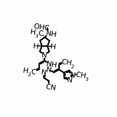 C=C/C=C(\NN(/C=C(\C=C)c1cnn(C)c1)/N=C\CC#N)N1C[C@@H]2C[C@@](C)(NC=O)C[C@@H]2C1